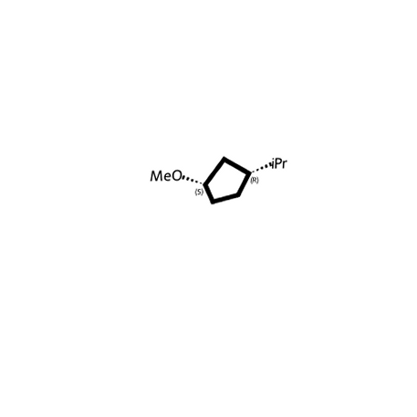 CO[C@H]1CC[C@@H](C(C)C)C1